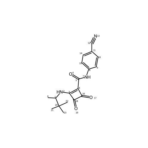 CC(Nc1c(C(=O)Nc2ccc(C#N)cc2)c(=O)c1=O)C(C)(C)C